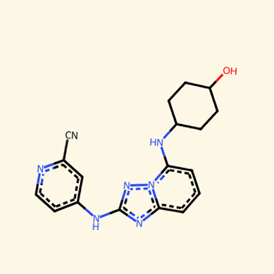 N#Cc1cc(Nc2nc3cccc(NC4CCC(O)CC4)n3n2)ccn1